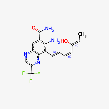 C/C=C(O)/C=C\C=C\c1c(N)c(C(N)=O)cc2ncc(C(F)(F)F)nc12